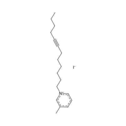 CCCCC#CCCCCCC[n+]1cccc(C)c1.[I-]